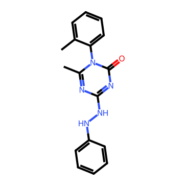 Cc1ccccc1-n1c(C)nc(NNc2ccccc2)nc1=O